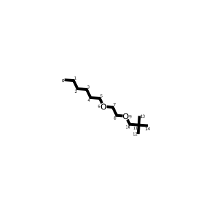 CCCCCCOCCOCC(C)(C)C